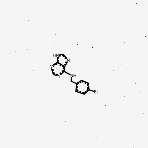 CCc1ccc(CNc2ncnc3[nH]cnc23)cc1